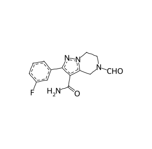 NC(=O)c1c(-c2cccc(F)c2)nn2c1CN(C=O)CC2